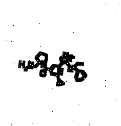 C=C/C(=N\c1c(-c2cc(C(=O)N3CCCC[C@@H]3CN)cc(C3CC3)n2)cnn1C)c1ccccc1